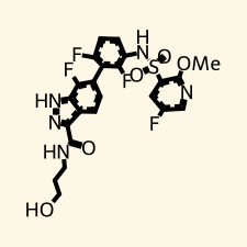 COc1ncc(F)cc1S(=O)(=O)Nc1ccc(F)c(-c2ccc3c(C(=O)NCCCO)n[nH]c3c2F)c1F